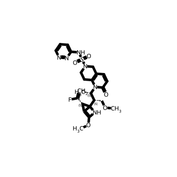 C=C(F)[C@H]1C2=C(OC)NC21[C@@H](COC)[C@H](C)n1c2c(ccc1=O)CN(S(=O)(=O)Nc1cccnn1)CC2